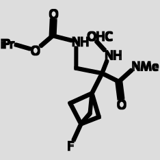 CNC(=O)C(CNC(=O)OC(C)C)(NC=O)C12CC(F)(C1)C2